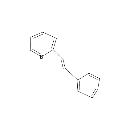 b1ccccc1C=Cc1ccccc1